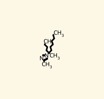 CCCCCCCC(C)(CCCC)n1cnc(C)c1